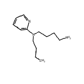 CCCCN(CCCCN)c1ccccn1